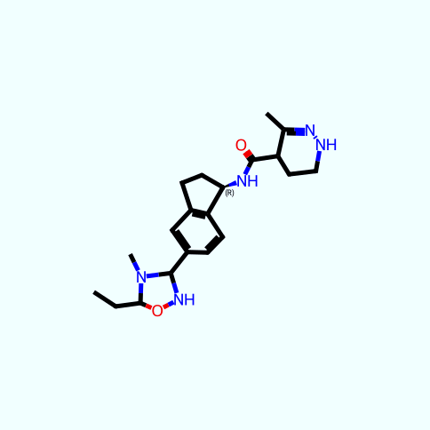 CCC1ONC(c2ccc3c(c2)CC[C@H]3NC(=O)C2CCNN=C2C)N1C